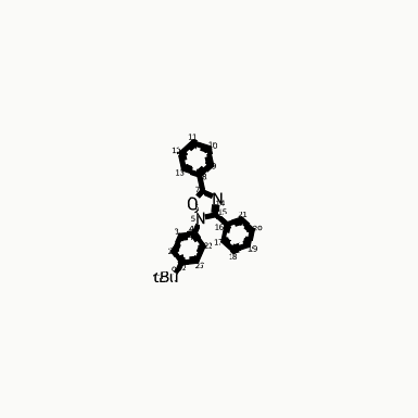 CC(C)(C)c1ccc(N2OC(c3ccccc3)N=C2c2ccccc2)cc1